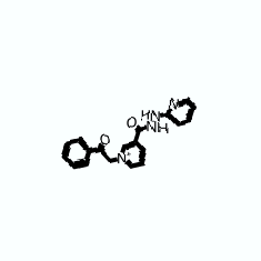 O=C(C[n+]1cccc(C(=O)NNc2ccccn2)c1)c1ccccc1